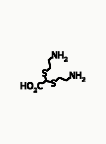 NCCSC(SCCN)C(=O)O